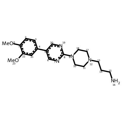 COc1ccc(-c2cnc(N3CCN(CCCN)CC3)nc2)cc1OC